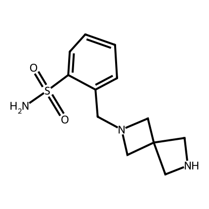 NS(=O)(=O)c1ccccc1CN1CC2(CNC2)C1